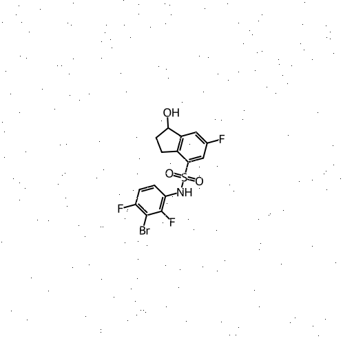 O=S(=O)(Nc1ccc(F)c(Br)c1F)c1cc(F)cc2c1CCC2O